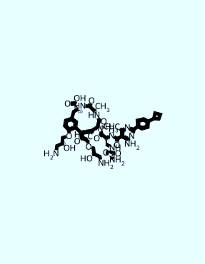 Cc1nc(-c2ccc(C3CCC3)cc2)nc(N)c1C(=O)N[C@@H](CNS(N)(=O)=O)C(=O)N(C)[C@@H]1C(=O)N[C@@H](C)C(=O)N[C@H](C(=O)O)Cc2ccc(OC[C@H](O)CN)c(c2)-c2cc1cc(OC[C@H](O)CN)c2O